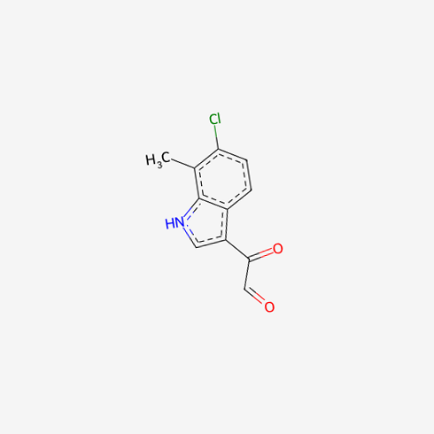 Cc1c(Cl)ccc2c(C(=O)C=O)c[nH]c12